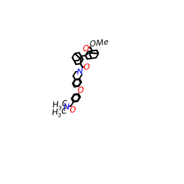 COC(=O)C12CC3CC(C1)CC(C14CC5CC(CC(C(=O)N6CCc7ccc(Oc8ccc(C(=O)N(C)C)cc8)cc7C6)(C5)C1)C4)(C3)C2